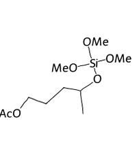 CO[Si](OC)(OC)OC(C)CCCOC(C)=O